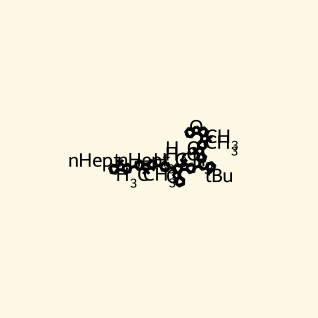 CCCCCCCC1(CCCCCCC)c2ccccc2-c2ccc(-c3ccc4c(c3)C(C)(C)c3cc(C5C=CC(c6cc7c(c8c6oc6ccccc68)-c6ccc(/C(=C/c8ccccc8C(C)(C)C)c8ccc9c(c8)C(C)(C)c8cc%10c(cc8-9)C(C)(C)c8ccc9oc%11ccccc%11c9c8-%10)cc6C7(C)C)=CC5)ccc3-4)cc21